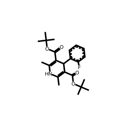 CC1=C(C(=O)OC(C)(C)C)C(c2ccccc2F)C(C(=O)OC(C)(C)C)=C(C)N1